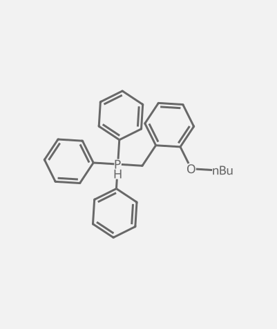 CCCCOc1ccccc1C[PH](c1ccccc1)(c1ccccc1)c1ccccc1